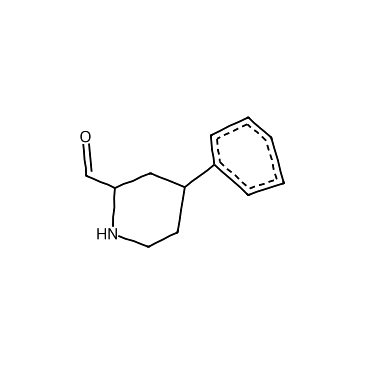 O=CC1CC(c2ccccc2)CCN1